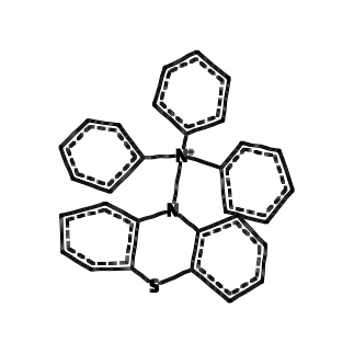 c1ccc([N+](c2ccccc2)(c2ccccc2)N2c3ccccc3Sc3ccccc32)cc1